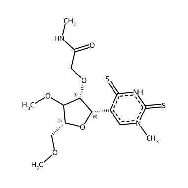 CNC(=O)CO[C@H]1C(OC)[C@@H](COC)O[C@H]1c1cn(C)c(=S)[nH]c1=S